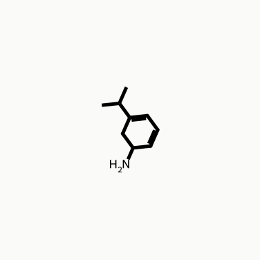 CC(C)C1=CC=CC(N)C1